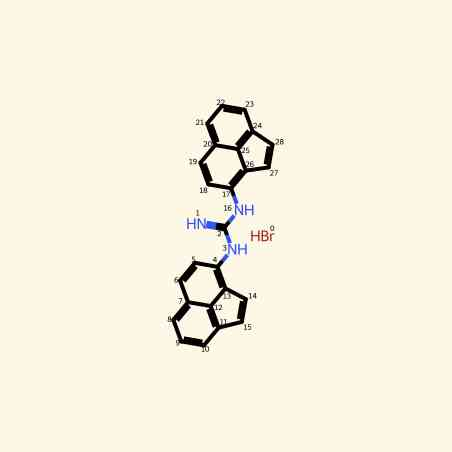 Br.N=C(Nc1ccc2cccc3c2c1C=C3)Nc1ccc2cccc3c2c1C=C3